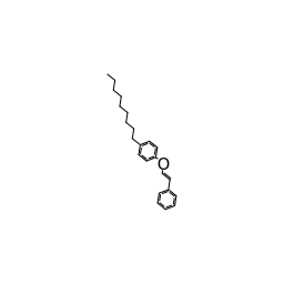 CCCCCCCCCc1ccc(OC=Cc2ccccc2)cc1